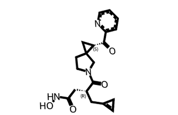 O=C(C[C@@H](CC1=CC1)C(=O)N1CCC2(C[C@@H]2C(=O)c2ccccn2)C1)NO